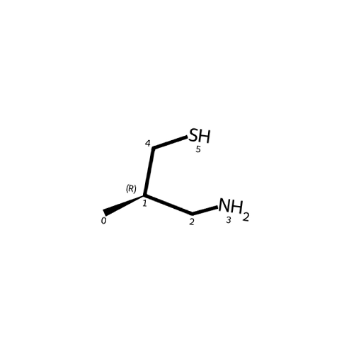 C[C@H](CN)CS